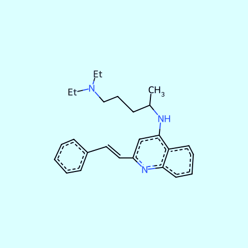 CCN(CC)CCCC(C)Nc1cc(C=Cc2ccccc2)nc2ccccc12